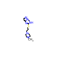 CN1CCN(CCCSC2=Nc3ccnn3CN2)CC1